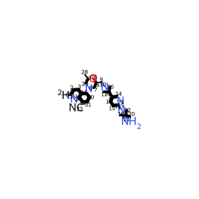 [2H]c1ccc2c(N3C[C@H](CN4CC(c5ccc(N6CC(C)(N)C6)nc5)C4)O[C@H](C)C3)ccc(C#N)c2n1